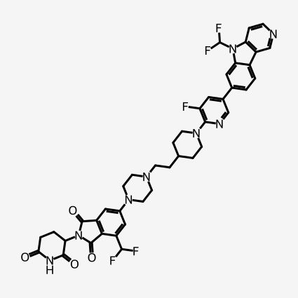 O=C1CCC(N2C(=O)c3cc(N4CCN(CCC5CCN(c6ncc(-c7ccc8c9cnccc9n(C(F)F)c8c7)cc6F)CC5)CC4)cc(C(F)F)c3C2=O)C(=O)N1